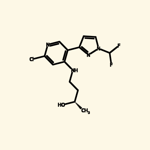 C[C@H](O)CCNc1cc(Cl)ncc1-c1ccn(C(F)F)n1